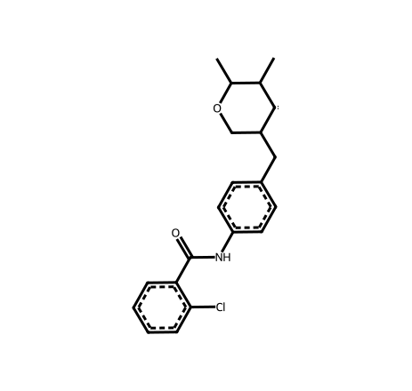 CC1[C]C(Cc2ccc(NC(=O)c3ccccc3Cl)cc2)COC1C